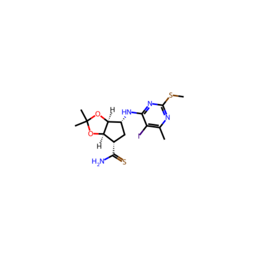 CSc1nc(C)c(I)c(N[C@@H]2C[C@H](C(N)=S)[C@H]3OC(C)(C)O[C@H]32)n1